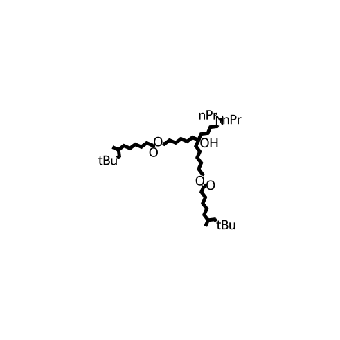 CCCN(CCC)CCCCC(O)(CCCCCCOC(=O)CCCCCC(C)CC(C)(C)C)CCCCCCOC(=O)CCCCCC(C)CC(C)(C)C